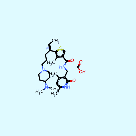 C/C=C(/CCCN1CCC(N(C)C)CC1)c1scc(C(=O)NCc2c(C)cc(C)[nH]c2=O)c1C.O=CO